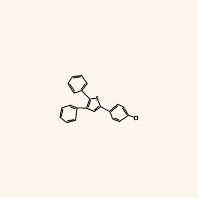 Clc1ccc(-c2cc(-c3ccccc3)c(-c3ccccc3)s2)cc1